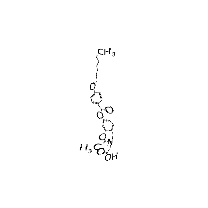 CCCCCCCOc1ccc(C(=O)Oc2ccc(CN(CC(=O)O)C(C)=O)cc2)cc1